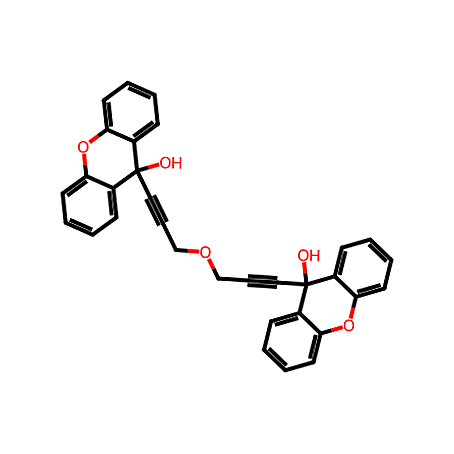 OC1(C#CCOCC#CC2(O)c3ccccc3Oc3ccccc32)c2ccccc2Oc2ccccc21